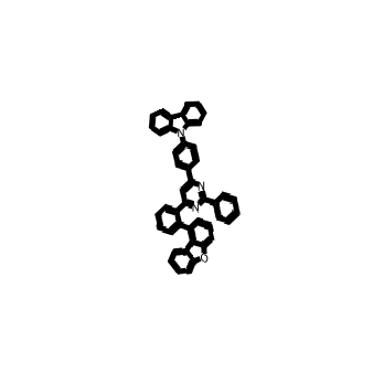 c1ccc(-c2nc(-c3ccc(-n4c5ccccc5c5ccccc54)cc3)cc(-c3ccccc3-c3cccc4oc5ccccc5c34)n2)cc1